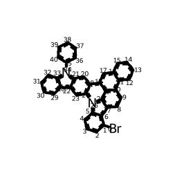 Brc1cccc2c1c1ccc3c4ccccc4cc4c5cc6c(cc5n2c1c34)c1ccccc1n6-c1ccccc1